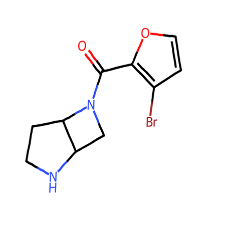 O=C(c1occc1Br)N1CC2NCCC21